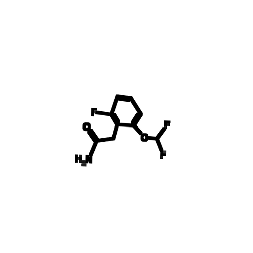 NC(=O)Cc1c(F)cccc1OC(F)F